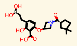 CC1(C)CC[C@H](C(=O)N2CC(Oc3ccc(CCB(O)O)c(O)c3C(=O)O)C2)C1